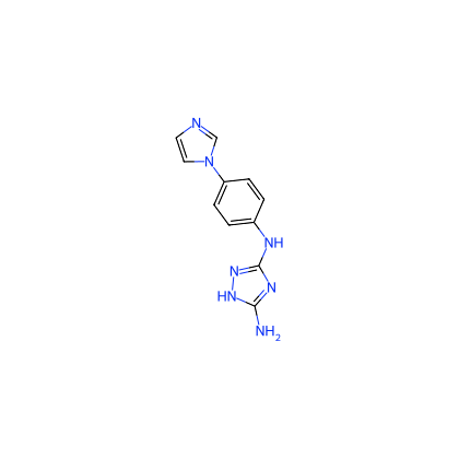 Nc1nc(Nc2ccc(-n3ccnc3)cc2)n[nH]1